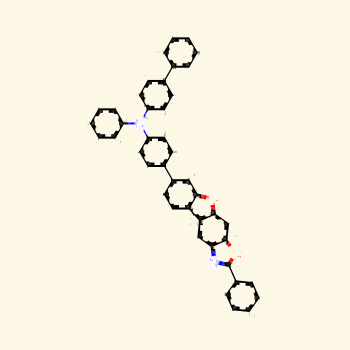 c1ccc(-c2ccc(N(c3ccccc3)c3ccc(-c4ccc5c(c4)oc4cc6oc(-c7ccccc7)nc6cc45)cc3)cc2)cc1